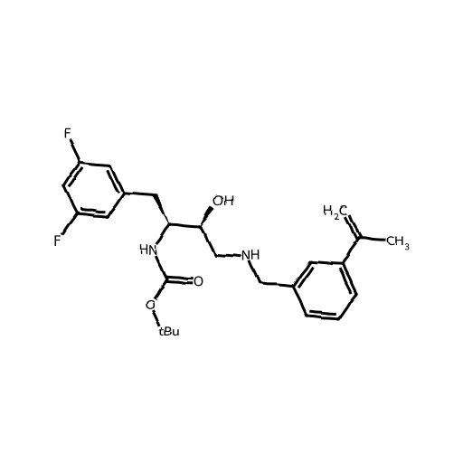 C=C(C)c1cccc(CNC[C@H](O)[C@H](Cc2cc(F)cc(F)c2)NC(=O)OC(C)(C)C)c1